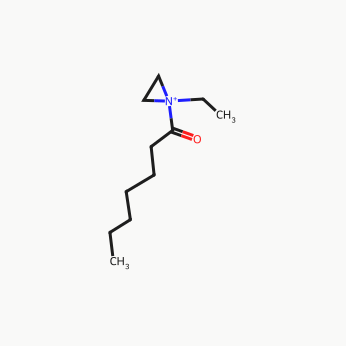 CCCCCCC(=O)[N+]1(CC)CC1